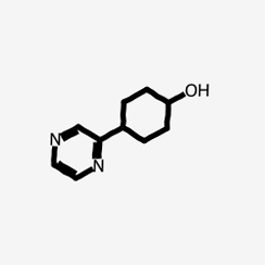 OC1CCC(c2cnccn2)CC1